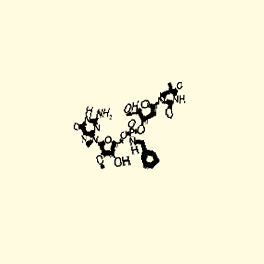 COC1[C@@H](O)[C@@H](COP(=O)(NCc2ccccc2)O[C@@H]2C[C@H](n3cc(C)c(=O)[nH]c3=O)O[C@@H]2CO)O[C@H]1n1cnc2c(=O)[nH]c(N)nc21